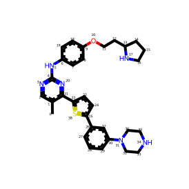 Cc1cnc(Nc2ccc(OCCC3CCCN3)cc2)nc1-c1ccc(-c2cccc(N3CCNCC3)c2)s1